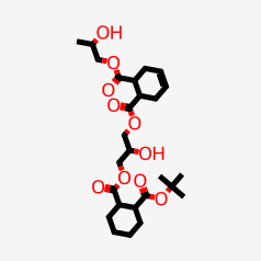 CC(O)COC(=O)C1CC=CCC1C(=O)OCC(O)COC(=O)C1CCCCC1C(=O)OC(C)(C)C